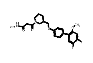 COc1cc(F)c(F)cc1-c1ccc(OCC2CCCN(C(=O)CC(=O)NO)C2)cc1